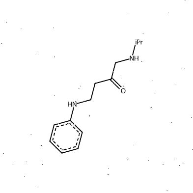 CC(C)NCC(=O)CCNc1ccccc1